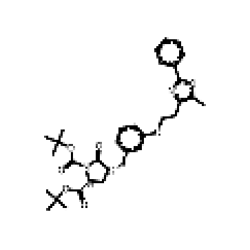 Cc1oc(-c2ccccc2)nc1CCOc1cccc(C[C@@H]2C[C@@H](C(=O)OC(C)(C)C)N(C(=O)OC(C)(C)C)C2=O)c1